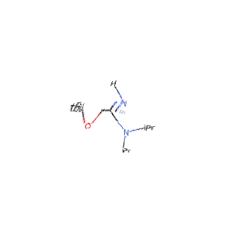 [H]/N=C(\OC(C)(C)C)N(C(C)C)C(C)C